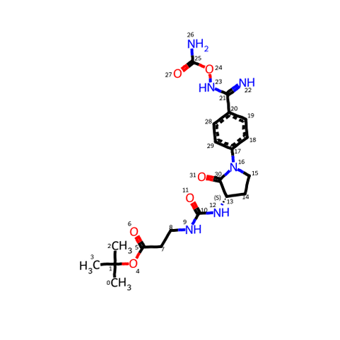 CC(C)(C)OC(=O)CCNC(=O)N[C@H]1CCN(c2ccc(C(=N)NOC(N)=O)cc2)C1=O